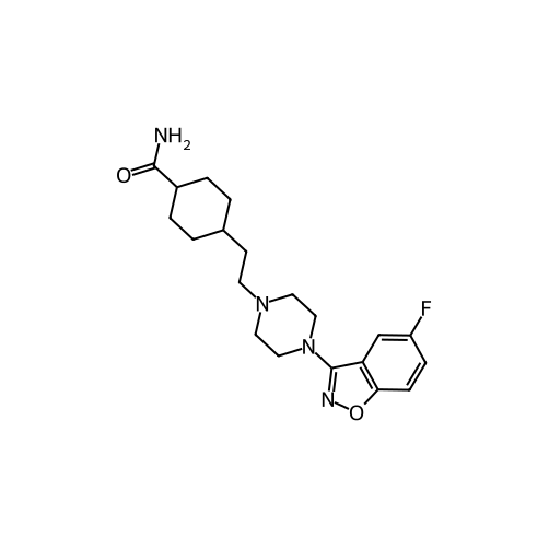 NC(=O)C1CCC(CCN2CCN(c3noc4ccc(F)cc34)CC2)CC1